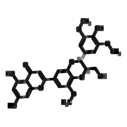 COc1cc([C@H]2Oc3cc(-c4cc(=O)c5c(O)cc(O)cc5o4)cc(OC)c3O[C@@H]2CO)cc(OC)c1O